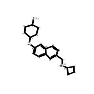 CC(C)(C)C1CCC(Oc2ccc3cc(CNC4CCC4)ccc3c2)CC1